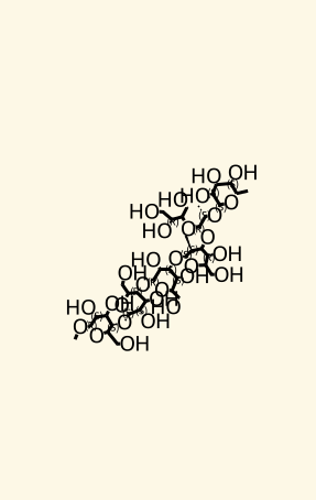 CO[C@@H]1OC(CO)[C@@H](O[C@@H]2OC(CO)[C@H](O[C@H]3OC(CO)[C@H](O)[C@H](O[C@@H]4OC(CO)[C@H](O)C(O[C@H](OC(CO)[C@H](O)CO)[C@H](C)O[C@@H]5OC(C)[C@@H](O)C(O)[C@@H]5O)[C@@H]4C)C3O)C(O)[C@@H]2O)C(O)[C@@H]1O